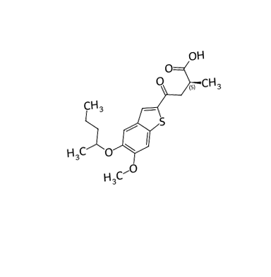 CCCC(C)Oc1cc2cc(C(=O)C[C@H](C)C(=O)O)sc2cc1OC